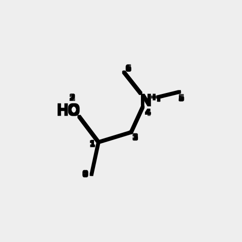 CC(O)C[N+](C)C